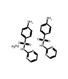 Nc1ccc(S(=O)(=O)Nc2ncccn2)cc1.Nc1ccc(S(=O)(=O)Nc2ncccn2)cc1.[Ag].[Ag]